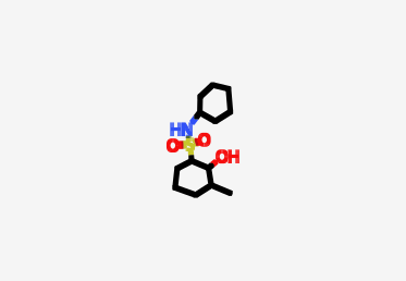 CC1CCCC(S(=O)(=O)NC2CCCCC2)C1O